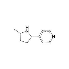 CC1CCC(c2ccncc2)N1